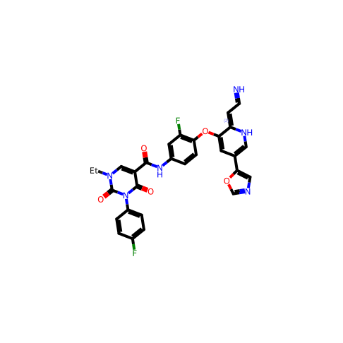 CCn1cc(C(=O)Nc2ccc(OC3=CC(c4cnco4)=CN/C3=C\C=N)c(F)c2)c(=O)n(-c2ccc(F)cc2)c1=O